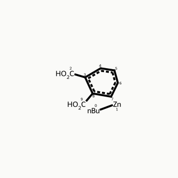 CCC[CH2][Zn].O=C(O)c1ccccc1C(=O)O